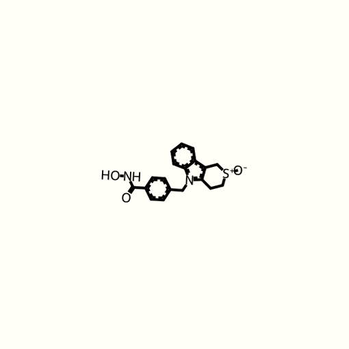 O=C(NO)c1ccc(Cn2c3c(c4ccccc42)C[S+]([O-])CC3)cc1